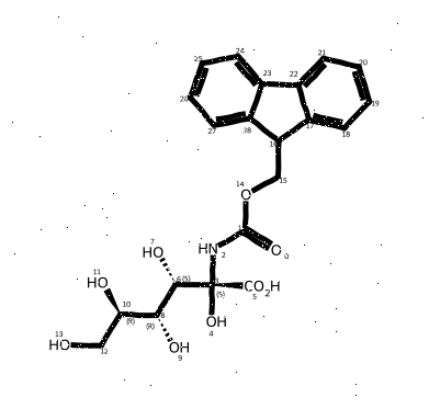 O=C(N[C@@](O)(C(=O)O)[C@@H](O)[C@H](O)[C@H](O)CO)OCC1c2ccccc2-c2ccccc21